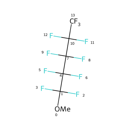 [CH2]OC(F)(F)C(F)(F)C(F)(F)C(F)(F)C(F)(F)F